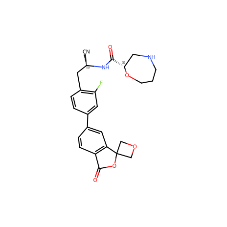 N#C[C@H](Cc1ccc(-c2ccc3c(c2)C2(COC2)OC3=O)cc1F)NC(=O)[C@@H]1CNCCCO1